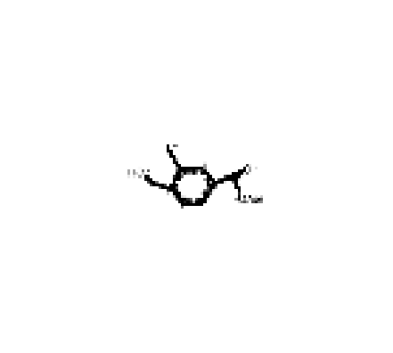 COC(=O)c1ccc(CO)c(I)c1